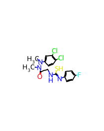 CN(C(=O)CNC(S)=Nc1ccc(F)cc1)N(C)c1ccc(Cl)c(Cl)c1